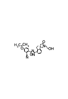 CC(C)Oc1ccc(-c2nc(-c3cccc4c3CC[C@@]43CC(=O)N(CCO)C3)no2)c(C#N)c1